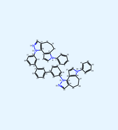 c1ccc(-n2ccc3c2CCCc2cnn(-c4cccc(-c5cccc(-c6cccc(-n7ncc8c7-c7ccn(-c9ccccc9)c7CCC8)c6)c5)c4)c2-3)cc1